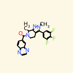 CC1c2nn(C)c(-c3cc(F)c(F)c(F)c3)c2CCN1C(=O)c1ccc2nccnc2c1